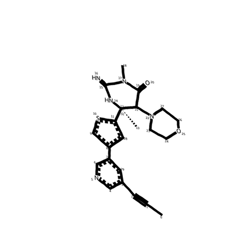 CC#Cc1cncc(-c2csc([C@@]3(C)NC(=N)N(C)C(=O)C3N3CCOCC3)c2)c1